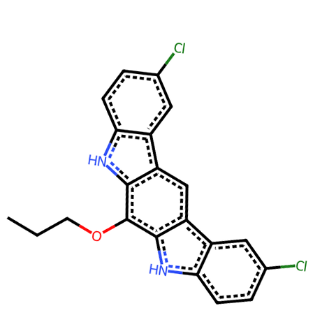 CCCOc1c2[nH]c3ccc(Cl)cc3c2cc2c1[nH]c1ccc(Cl)cc12